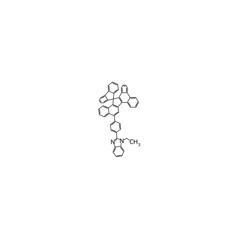 CCn1c(-c2ccc(-c3cc4c(c5ccccc35)C3(c5ccccc5-c5ccccc53)c3c-4c4ccccc4c4ccccc34)cc2)nc2ccccc21